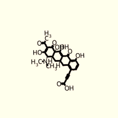 CC(=O)C1=C(O)[C@@H](N(C)C)[C@@H]2C[C@@H]3Cc4c(C#CC(=O)O)ccc(O)c4C(=O)C3=C(O)[C@]2(O)C1=O